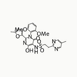 COc1cccc(OC)c1-n1c(-c2ccc(C)o2)nc(O)c(NS(=O)(=O)CCc2ncc(C)cn2)c1=O